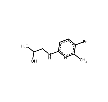 Cc1nc(NCC(C)O)ccc1Br